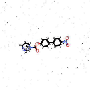 O=C(Oc1ccc(-c2ccc([N+](=O)[O-])cc2)cc1)N1CCN2CCC1CC2